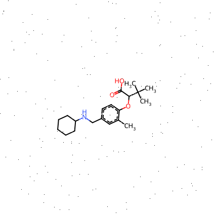 Cc1cc(CNC2CCCCC2)ccc1OC(C(=O)O)C(C)(C)C